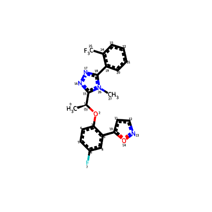 C[C@H](Oc1ccc(F)cc1-c1ccno1)c1nnc(-c2ccccc2C(F)(F)F)n1C